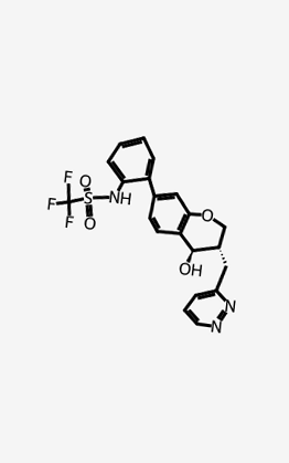 O=S(=O)(Nc1ccccc1-c1ccc2c(c1)OC[C@H](Cc1cccnn1)[C@H]2O)C(F)(F)F